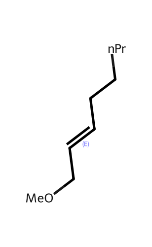 [CH2]CCCC/C=C/COC